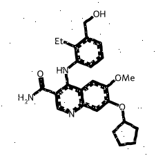 CCc1c(CO)cccc1Nc1c(C(N)=O)cnc2cc(OC3CCCC3)c(OC)cc12